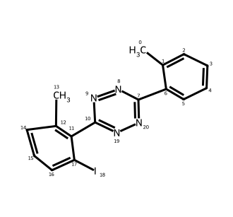 Cc1ccccc1-c1nnc(-c2c(C)cccc2I)nn1